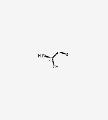 N[C@H](O)CBr